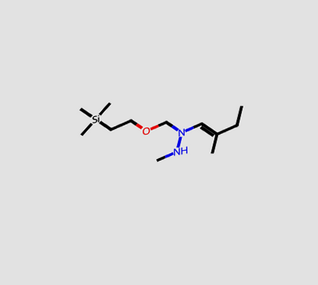 CCC(C)=CN(COCC[Si](C)(C)C)NC